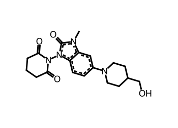 Cn1c(=O)n(N2C(=O)CCCC2=O)c2ccc(N3CCC(CO)CC3)cc21